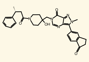 C[C@H](CC(=O)N1CCC(O)(Cn2cnc3c(-c4ccc5c(c4)CCC5=O)n(C)nc3c2=O)CC1)c1ccccc1